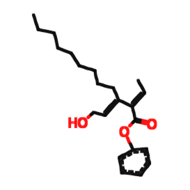 CC=C(C(=O)Oc1ccccc1)C(=CCO)CCCCCCCCC